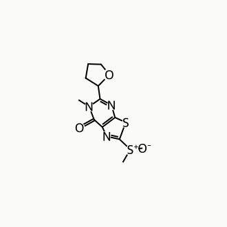 Cn1c(C2CCCO2)nc2sc([S+](C)[O-])nc2c1=O